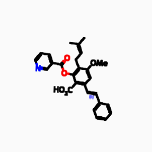 COc1cc(/C=C/c2ccccc2)c(C(=O)O)c(OC(=O)c2cccnc2)c1CC=C(C)C